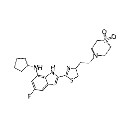 O=S1(=O)CCN(CCC2CSC(c3cc4cc(F)cc(NC5CCCC5)c4[nH]3)=N2)CC1